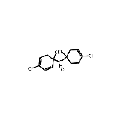 O=[PH](C1(Cl)C=CC(Cl)=CC1)C1(Cl)C=CC(Cl)=CC1